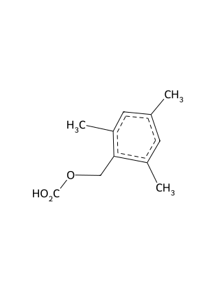 Cc1cc(C)c(COC(=O)O)c(C)c1